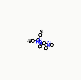 C[Si](C)(C)c1ccc(-c2cc(-c3ccc([Si](C)(C)C)cc3)nc(-n3c4ccccc4c4c5c6ccccc6n6c7ccccc7nc6c5ccc43)n2)cc1